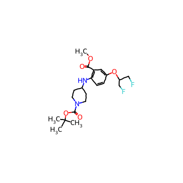 COC(=O)c1cc(OC(CF)CF)ccc1NC1CCN(C(=O)OC(C)(C)C)CC1